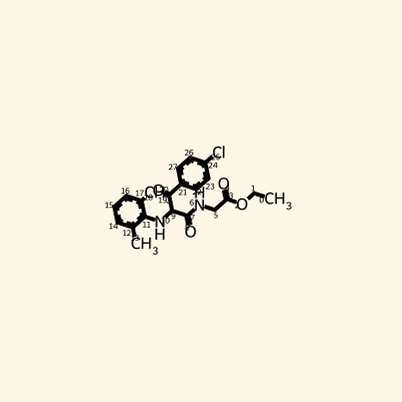 CCOC(=O)CNC(=O)C(Nc1c(C)cccc1C)C(=O)c1ccc(Cl)cc1